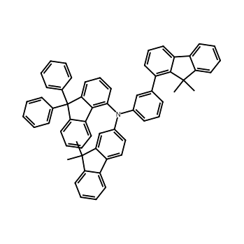 CC1(C)c2ccccc2-c2ccc(N(c3cccc(-c4cccc5c4C(C)(C)c4ccccc4-5)c3)c3cccc4c3-c3ccccc3C4(c3ccccc3)c3ccccc3)cc21